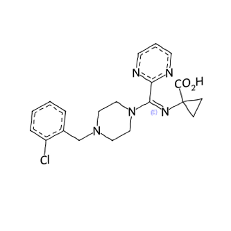 O=C(O)C1(/N=C(\c2ncccn2)N2CCN(Cc3ccccc3Cl)CC2)CC1